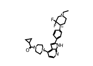 CCN1CC[C@@H](c2ccc(-c3cc4c(N5CCN(C(=O)C6CC6)CC5)ccnc4[nH]3)cc2)C(F)(F)C1